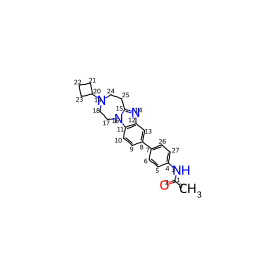 CC(=O)Nc1ccc(-c2ccc3c(c2)nc2n3CCN(C3CCC3)CC2)cc1